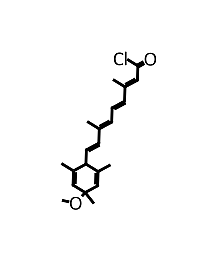 COC1(C)C=C(C)C(/C=C/C(C)=C/C=C/C(C)=C/C(=O)Cl)C(C)=C1